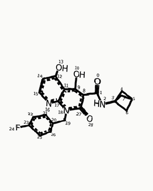 O=C(NC12CC(C1)C2)c1c(O)c2c(O)ccnc2n(Cc2ccc(F)cc2)c1=O